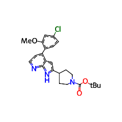 COc1cc(Cl)ccc1-c1ccnc2[nH]c(C3CCN(C(=O)OC(C)(C)C)CC3)cc12